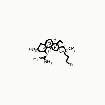 CC(C)CCC[C@@H](C)[C@H]1CC[C@H]2[C@@H]3CC=C4C[C@@H](O)CC(N=C(N)N)[C@]4(C)[C@H]3CC[C@]12C